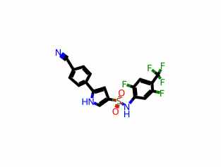 N#Cc1ccc(-c2cc(S(=O)(=O)Nc3cc(F)c(C(F)(F)F)cc3F)c[nH]2)cc1